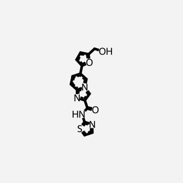 O=C(Nc1nccs1)c1cn2cc(-c3ccc(CO)o3)ccc2n1